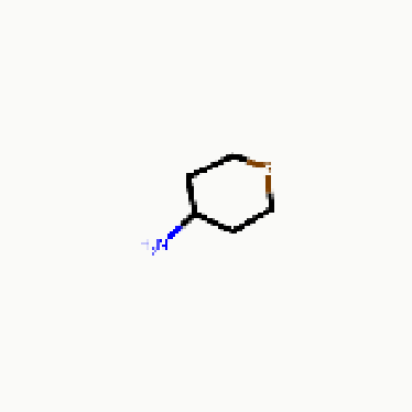 N[C]1CCSCC1